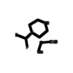 CC(C)(C)OC=O.FC(F)N1CCNCC1